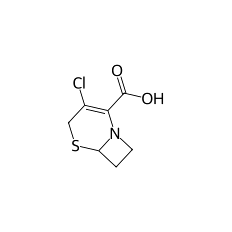 O=C(O)C1=C(Cl)CSC2CCN12